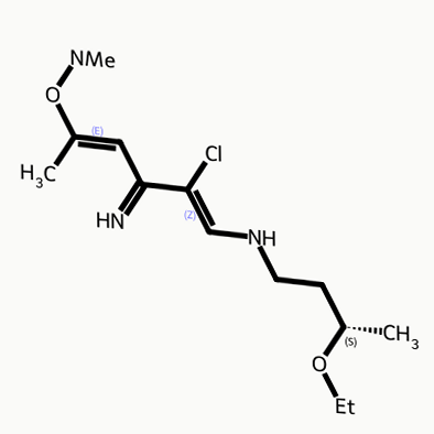 CCO[C@@H](C)CCN/C=C(\Cl)C(=N)/C=C(\C)ONC